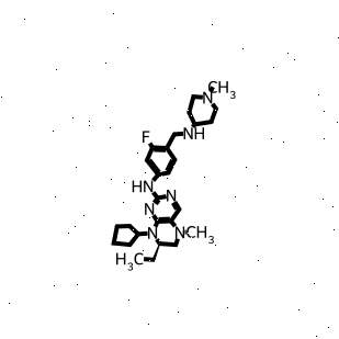 CC[C@@H]1CN(C)c2cnc(Nc3ccc(CNC4CCN(C)CC4)c(F)c3)nc2N1C1CCCC1